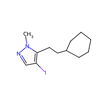 Cn1ncc(I)c1CCC1CCCCC1